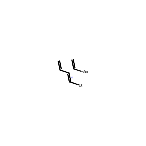 C=C/C=C/CC.C=CCCCC